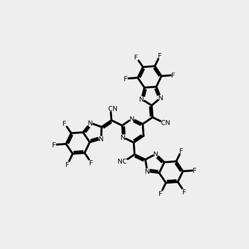 N#CC(=C1N=c2c(F)c(F)c(F)c(F)c2=N1)c1cc(C(C#N)=C2N=c3c(F)c(F)c(F)c(F)c3=N2)nc(C(C#N)=C2N=c3c(F)c(F)c(F)c(F)c3=N2)n1